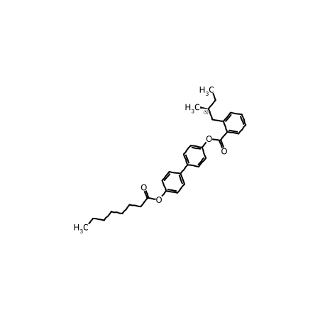 CCCCCCCC(=O)Oc1ccc(-c2ccc(OC(=O)c3ccccc3C[C@@H](C)CC)cc2)cc1